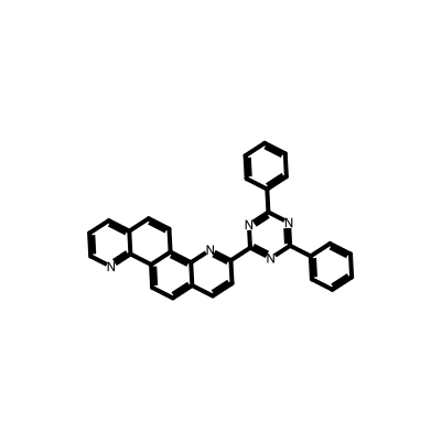 c1ccc(-c2nc(-c3ccccc3)nc(-c3ccc4ccc5c(ccc6cccnc65)c4n3)n2)cc1